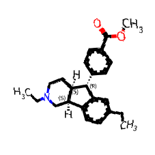 CCc1ccc2c(c1)[C@@H](c1ccc(C(=O)OC)cc1)[C@@H]1CCN(CC)C[C@H]21